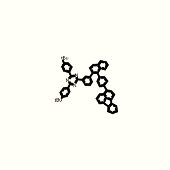 CC(C)(C)c1ccc(-c2nc(-c3ccc(C(C)(C)C)cc3)nc(-c3cccc(-c4ccc5ccccc5c4-c4ccc(-c5ccc6c7c(cccc57)-c5ccccc5-6)cc4)c3)n2)cc1